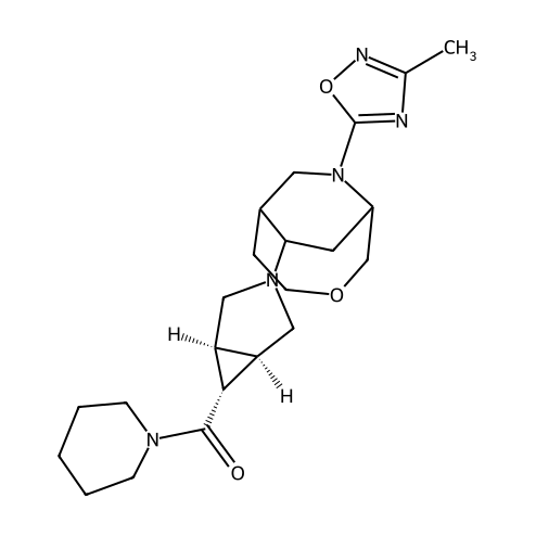 Cc1noc(N2CC3CCOCC2CC3N2C[C@@H]3[C@H](C2)[C@H]3C(=O)N2CCCCC2)n1